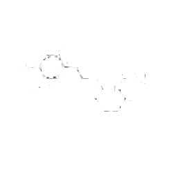 Clc1ccc(C=CCC2CCCCN2CC2CC2)cc1Cl